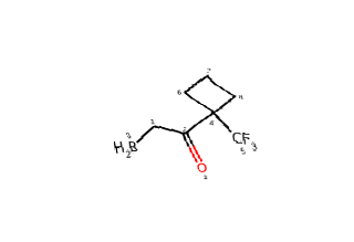 BCC(=O)C1(C(F)(F)F)CCC1